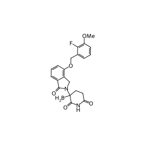 BC1(N2Cc3c(OCc4cccc(OC)c4F)cccc3C2=O)CCC(=O)NC1=O